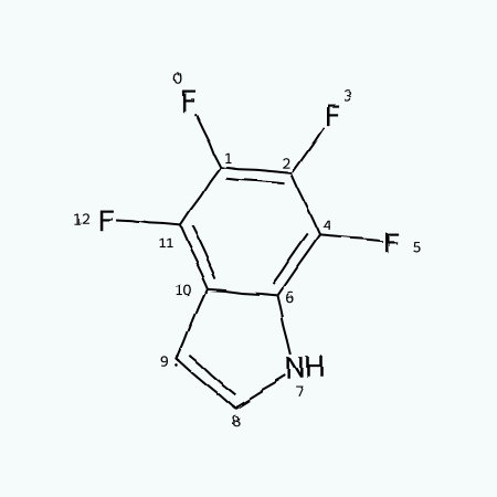 Fc1c(F)c(F)c2[nH]c[c]c2c1F